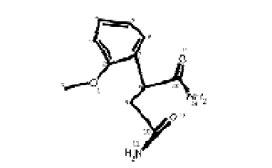 COc1ccccc1C(CC(N)=O)C(N)=O